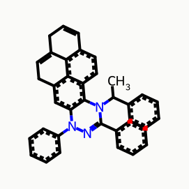 CC(c1ccccc1)N1C(c2ccccc2)=NN(c2ccccc2)c2cc3c4c5c(ccc4c21)C=CCC5=CC3